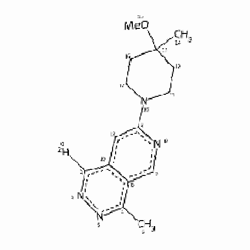 [2H]c1nnc(C)c2cnc(N3CCC(C)(OC)CC3)cc12